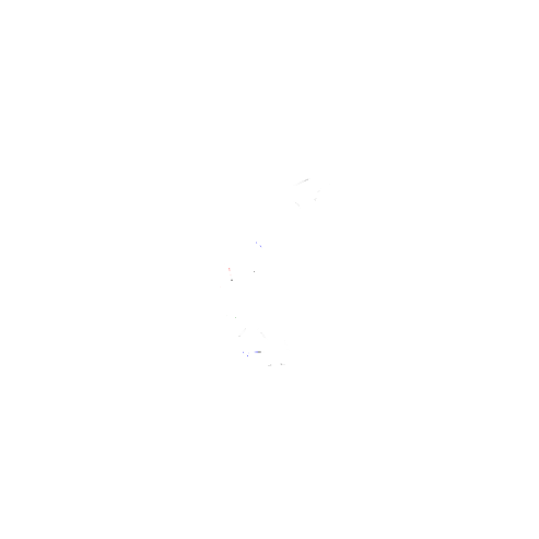 COc1ccc2ncc(Cl)c(C(O)CCC3(CC(=O)O)CCN(CCCc4c(F)cc(F)cc4F)CC3)c2c1